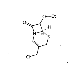 CCOC1C(=O)N2C=C(CCl)CS[C@H]12